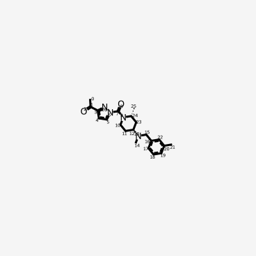 CC(=O)c1ccn(C(=O)N2CC[C@H](N(C)Cc3cccc(C)c3)C[C@H]2C)n1